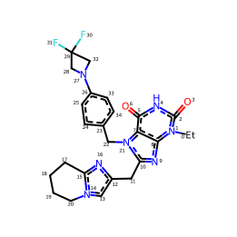 CCn1c(=O)[nH]c(=O)c2c1nc(Cc1cn3c(n1)CCCC3)n2Cc1ccc(N2CC(F)(F)C2)cc1